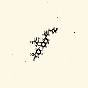 CCC(Cl)C(=O)Nc1c(Oc2ccc3nc(C)[nH]c3c2)ccc2ncc(-c3cnn(CC4CC(F)(F)C4)c3)nc12